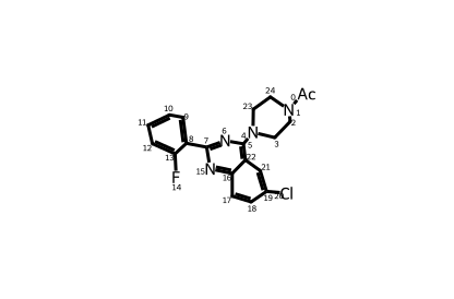 CC(=O)N1CCN(c2nc(-c3ccccc3F)nc3ccc(Cl)cc23)CC1